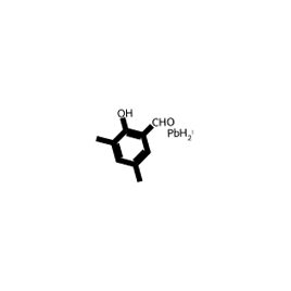 Cc1cc(C)c(O)c(C=O)c1.[PbH2]